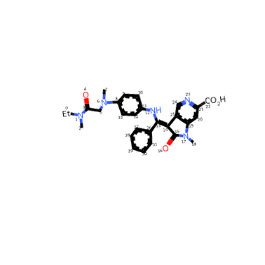 CCN(C)C(=O)CN(C)c1ccc(NC(=C2C(=O)N(C)c3cc(C(=O)O)ncc32)c2ccccc2)cc1